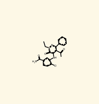 CCn1nc(-c2ccccc2)c(C(C)=O)c(Nc2cc(C(N)=O)ccc2Cl)c1=O